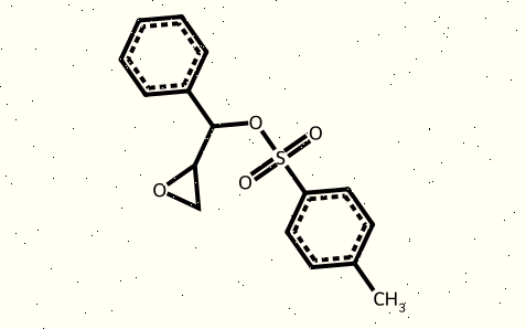 Cc1ccc(S(=O)(=O)OC(c2ccccc2)C2CO2)cc1